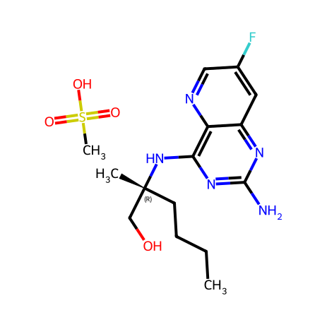 CCCC[C@](C)(CO)Nc1nc(N)nc2cc(F)cnc12.CS(=O)(=O)O